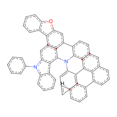 C1=C(c2cccc3cccc(-c4ccccc4)c23)C(N(c2ccccc2-c2ccc3c(c2)oc2ccccc23)c2cccc3c2c2ccccc2n3-c2ccccc2)=CC2=C[C@H]12